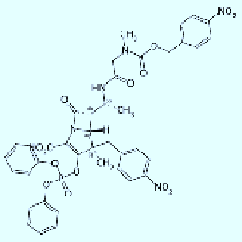 C[C@@H](NC(=O)CN(C)C(=O)OCc1ccc([N+](=O)[O-])cc1)[C@H]1C(=O)N2C(C(=O)O)=C(OP(=O)(Oc3ccccc3)Oc3ccccc3)[C@](C)(Cc3ccc([N+](=O)[O-])cc3)[C@@H]12